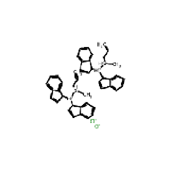 C=CC[SiH](C)[Hf+]([CH]1C=Cc2ccccc21)[CH]1C=Cc2ccccc21.C=CC[SiH](C)[Hf+]([CH]1C=Cc2ccccc21)[CH]1C=Cc2ccccc21.[Cl-].[Cl-]